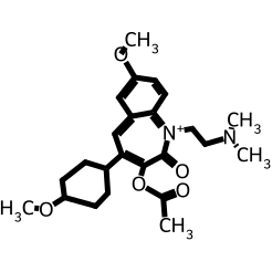 COc1ccc2c(c1)cc(C1CCC(OC)CC1)c(OC(C)=O)c(=O)[n+]2CCN(C)C